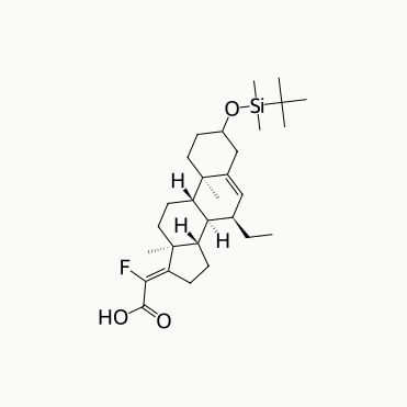 CC[C@@H]1C=C2CC(O[Si](C)(C)C(C)(C)C)CC[C@]2(C)[C@H]2CC[C@]3(C)C(=C(F)C(=O)O)CC[C@H]3[C@H]12